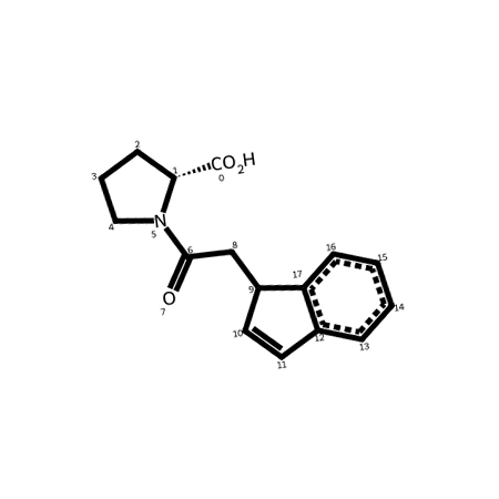 O=C(O)[C@H]1CCCN1C(=O)CC1C=Cc2ccccc21